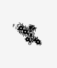 [2H]c1c([2H])c(-c2c([2H])c([2H])c(C(F)(F)F)c(C)c2[2H])c([2H])c([2H])c1CN(CCN(C([2H])([2H])C)C([2H])([2H])C)C(=O)C([2H])([2H])n1c(SC([2H])([2H])c2ccc(F)cc2)nc(=O)c2c1CCC2